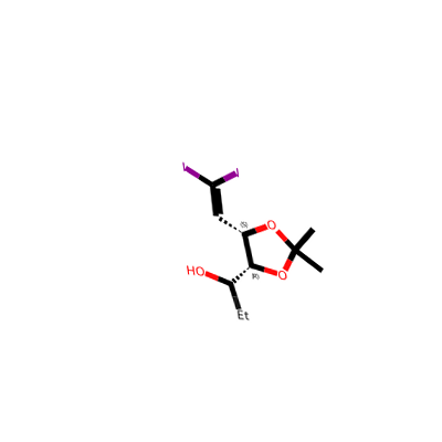 CCC(O)[C@H]1OC(C)(C)O[C@H]1C=C(I)I